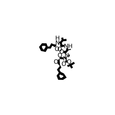 CC(C)[C@H](NC(=O)CCc1ccccc1)C(=O)N[C@@H](C)C(=O)N(C)N(C(=O)OC(C)(C)C)C(=O)[C@H]1O[C@@H]1CCc1ccccc1